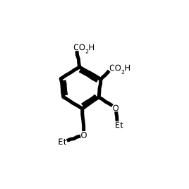 CCOc1ccc(C(=O)O)c(C(=O)O)c1OCC